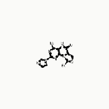 CCc1nc(-n2ccnc2)nc2c1[nH]c(=O)c1cnc(CC)n12